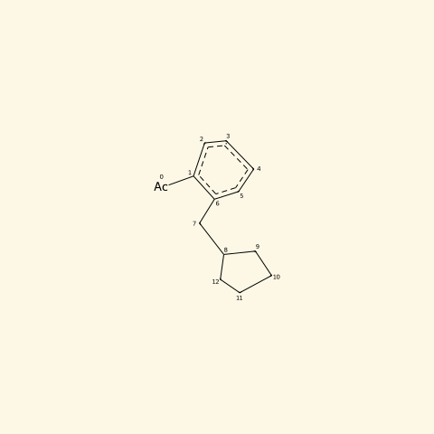 CC(=O)c1c[c]ccc1CC1CCCC1